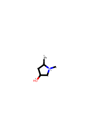 CC(C)C1CC(O)CN1C